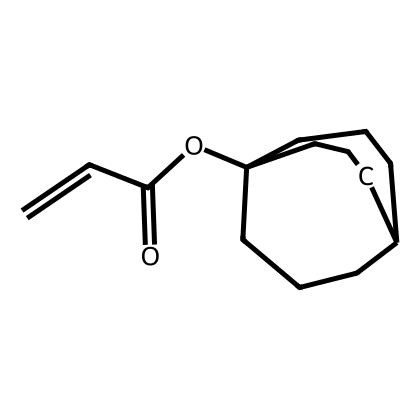 C=CC(=O)OC12CCCC(CCC1)CCC2